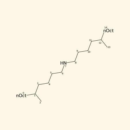 CCCCCCCCC(C)CCCCNCCCCC(C)CCCCCCCC